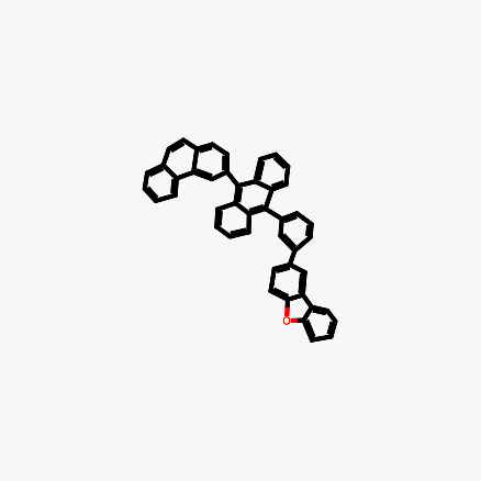 c1cc(-c2ccc3oc4ccccc4c3c2)cc(-c2c3ccccc3c(-c3ccc4ccc5ccccc5c4c3)c3ccccc23)c1